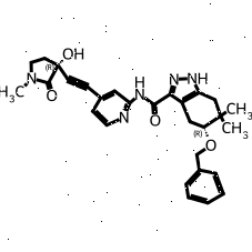 CN1CC[C@@](O)(C#Cc2ccnc(NC(=O)c3n[nH]c4c3C[C@@H](OCc3ccccc3)C(C)(C)C4)c2)C1=O